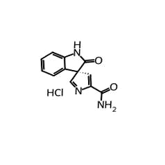 Cl.NC(=O)C1=C[C@@]2(C=N1)C(=O)Nc1ccccc12